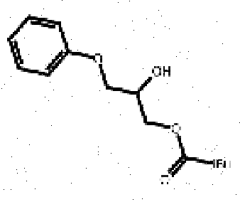 CCC(C)C(=O)OCC(O)COc1ccccc1